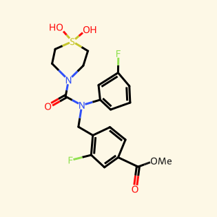 COC(=O)c1ccc(CN(C(=O)N2CCS(O)(O)CC2)c2cccc(F)c2)c(F)c1